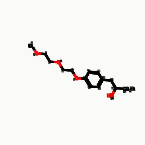 CCOCCOCCOc1ccc(CC(O)C(=O)OCC)cc1